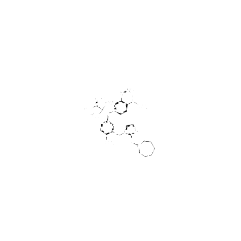 CNc1ccc([C@H](c2ccc(C)c(Cn3ccnc3CN3CCCCCC3)c2)C(C)(C)C(=O)O)c(C)c1N=N